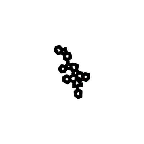 c1ccc(-c2nc(-c3ccccc3)nc(-c3ccccc3-n3c4ccccc4c4ccc5c(c6ccccc6n5-c5ccc6sc7ccccc7c6c5)c43)n2)cc1